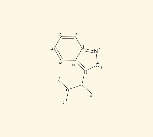 CC(C)C(C)c1onc2ccccc12